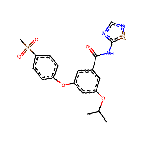 CC(C)Oc1cc(Oc2ccc(S(C)(=O)=O)cc2)cc(C(=O)Nc2ncns2)c1